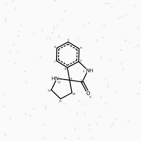 O=C1Nc2ccccc2C12CCCN2